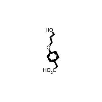 O=C(O)Cc1ccc(OCCCO)cc1